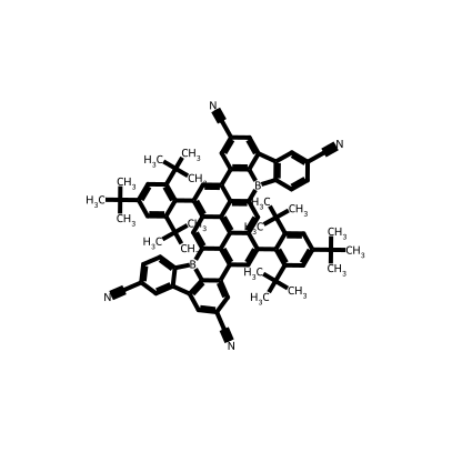 CC(C)(C)c1cc(C(C)(C)C)c(-c2cc3c4c(cc5c(-c6c(C(C)(C)C)cc(C(C)(C)C)cc6C(C)(C)C)cc6c7c(cc2c4c57)B2c4ccc(C#N)cc4-c4cc(C#N)cc-6c42)B2c4ccc(C#N)cc4-c4cc(C#N)cc-3c42)c(C(C)(C)C)c1